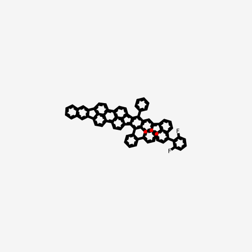 Fc1cccc(F)c1-c1ccc2c3cc4c(-c5ccccc5-c5ccccc5)c5c6ccc7c8ccc9c%10c(ccc(c%11ccc(c5c(-c5ccccc5)c4cc3c3cccc1c32)c6c%117)c%108)-c1cc2ccccc2cc1-9